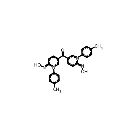 Cc1ccc(-n2cc(C(=O)c3ccc(=NO)n(-c4ccc(C)cc4)c3)ccc2=NO)cc1